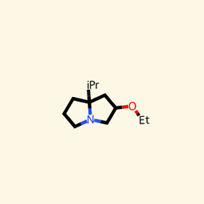 CCOC1CN2CCCC2(C(C)C)C1